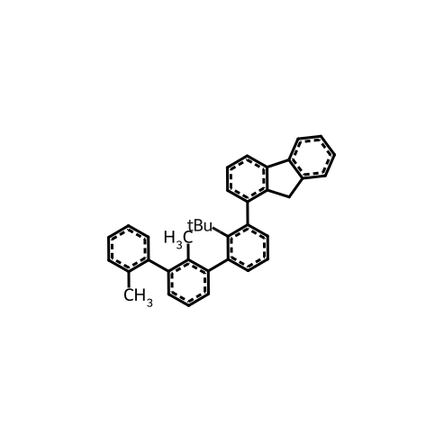 Cc1ccccc1-c1cccc(-c2cccc(-c3cccc4c3Cc3ccccc3-4)c2C(C)(C)C)c1C